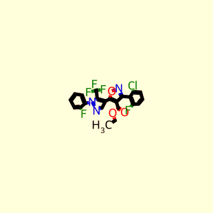 CCOC(=O)c1c(-c2c(F)cccc2Cl)noc1-c1cnn(-c2ccccc2F)c1C(F)(F)F